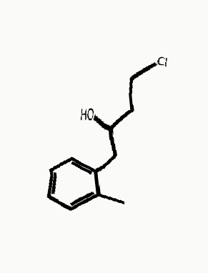 Cc1ccccc1CC(O)CCCl